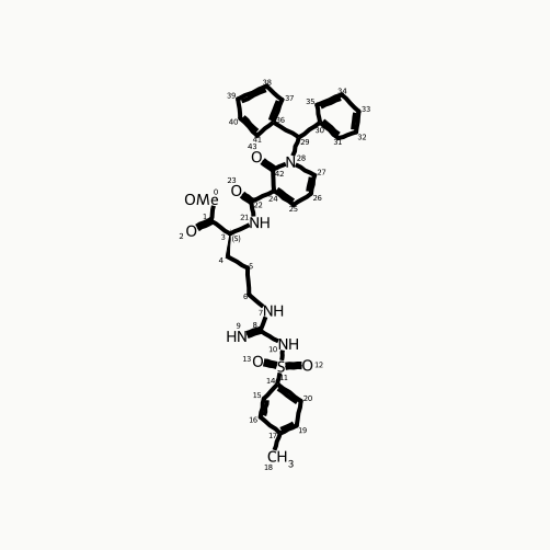 COC(=O)[C@H](CCCNC(=N)NS(=O)(=O)c1ccc(C)cc1)NC(=O)c1cccn(C(c2ccccc2)c2ccccc2)c1=O